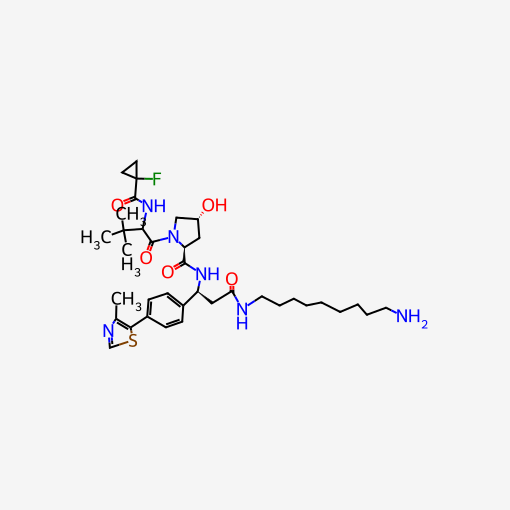 Cc1ncsc1-c1ccc([C@H](CC(=O)NCCCCCCCCCN)NC(=O)[C@@H]2C[C@@H](O)CN2C(=O)C(NC(=O)C2(F)CC2)C(C)(C)C)cc1